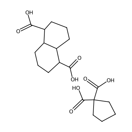 O=C(O)C1(C(=O)O)CCCC1.O=C(O)C1CCCC2C(C(=O)O)CCCC12